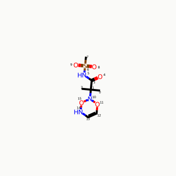 CC(C)(C(=O)NS(C)(=O)=O)n1occ[nH]o1